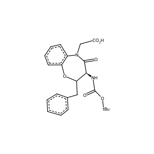 CC(C)(C)OC(=O)N[C@@H]1C(=O)N(CC(=O)O)c2ccccc2OC1Cc1ccccc1